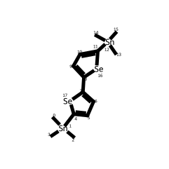 [CH3][Sn]([CH3])([CH3])[c]1ccc(-c2cc[c]([Sn]([CH3])([CH3])[CH3])[se]2)[se]1